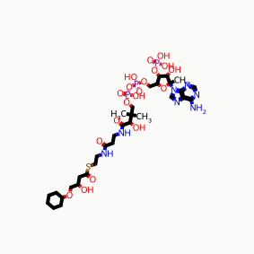 CC(C)(COP(=O)(O)OP(=O)(O)OCC1OC(C)(n2cnc3c(N)ncnc32)C(O)C1OP(=O)(O)O)C(O)C(=O)NCCC(=O)NCCSC(=O)CC(O)COC1CCCCC1